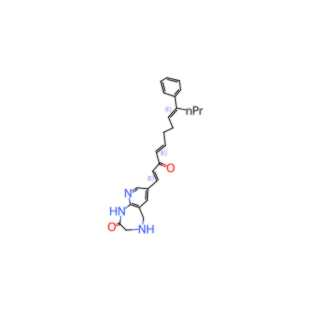 CCC/C(=C\CC/C=C/C(=O)/C=C/c1cnc2c(c1)CNCC(=O)N2)c1ccccc1